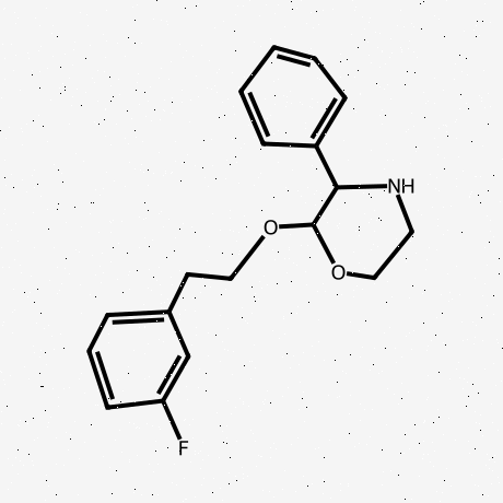 Fc1cccc(CCOC2OCCNC2c2ccccc2)c1